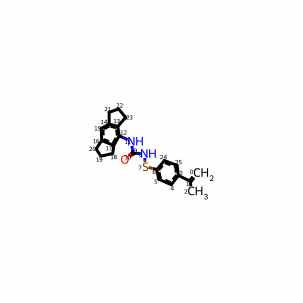 C=C(C)c1ccc(SNC(=O)Nc2c3c(cc4c2CCC4)CCC3)cc1